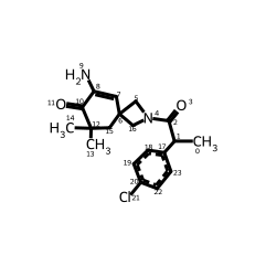 CC(C(=O)N1CC2(C=C(N)C(=O)C(C)(C)C2)C1)c1ccc(Cl)cc1